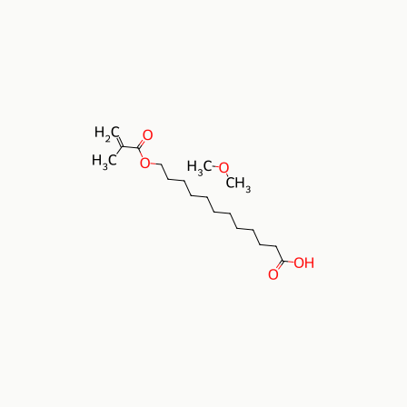 C=C(C)C(=O)OCCCCCCCCCCCC(=O)O.COC